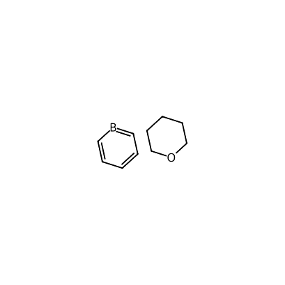 C1CCOCC1.b1ccccc1